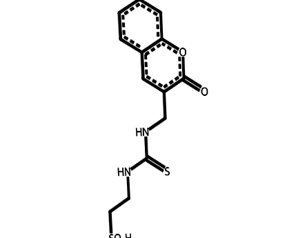 O=c1oc2ccccc2cc1CNC(=S)NCCS(=O)(=O)O